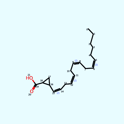 CCCCC/C=C\C/C=C\C/C=C\C/C=C\C1CC1C(=O)O